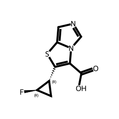 O=C(O)c1c([C@@H]2C[C@H]2F)sc2cncn12